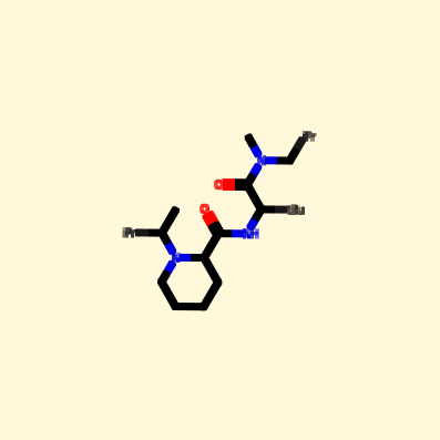 CC(C)CN(C)C(=O)C(NC(=O)C1CCCCN1C(C)C(C)C)C(C)(C)C